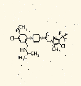 COc1cc(N2CCN(C(=O)Cn3nc(C(F)(F)F)c(Cl)c3C)CC2)c(CNC(C)C)cc1Cl